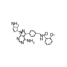 COc1ccccc1C(=O)NCc1ccc(-c2nn(C3C=CC(N)C3)c3ncnc(N)c23)cc1